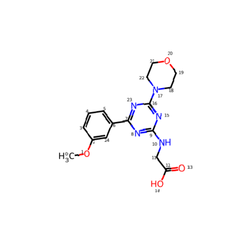 COc1cccc(-c2nc(NCC(=O)O)nc(N3CCOCC3)n2)c1